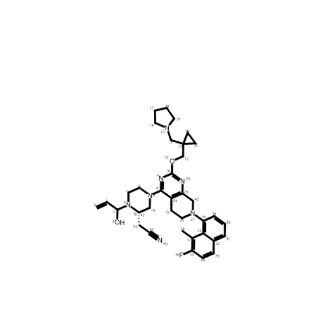 C=CC(O)N1CCN(c2nc(OCC3(CN4CCCC4)CC3)nc3c2CCN(c2cccc4ccc(F)c(C)c24)C3)C[C@@H]1CC#N